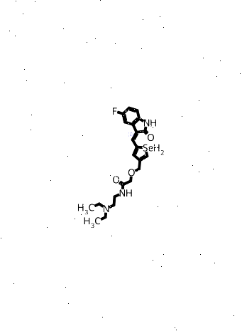 CCN(CC)CCNC(=O)COCC1=C[SeH2]C(/C=C2\C(=O)Nc3ccc(F)cc32)=C1